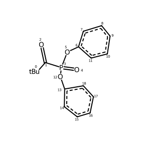 CC(C)(C)C(=O)P(=O)(Oc1ccccc1)Oc1ccccc1